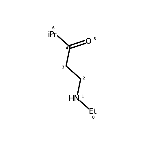 CCNCCC(=O)C(C)C